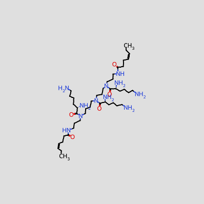 CC/C=C\CCC(=O)NCCCN(CCCCN(CCCN(CCCNC(=O)CC/C=C\CC)C(=O)[C@@H](N)CCCCN)C(=O)[C@@H](N)CCCCN)C(=O)[C@@H](N)CCCCN